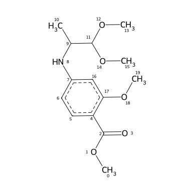 COC(=O)c1ccc(NC(C)C(OC)OC)cc1OC